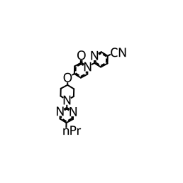 CCCc1cnc(N2CCC(Oc3ccn(-c4ccc(C#N)cn4)c(=O)c3)CC2)nc1